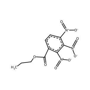 CCCOC(=O)c1ccc([N+](=O)[O-])c([N+](=O)[O-])c1[N+](=O)[O-]